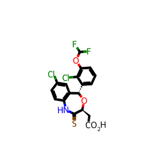 O=C(O)C[C@@H]1O[C@@H](c2cccc(OC(F)F)c2Cl)c2cc(Cl)ccc2NC1=S